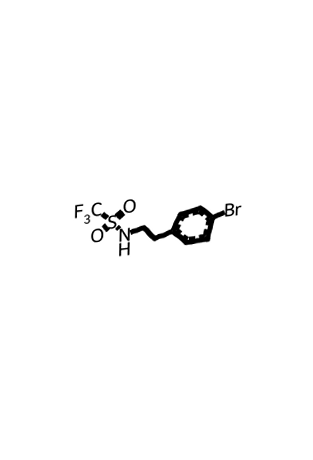 O=S(=O)(NCCc1ccc(Br)cc1)C(F)(F)F